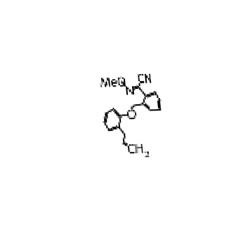 C=CCc1ccccc1OCc1ccccc1C(C#N)=NOC